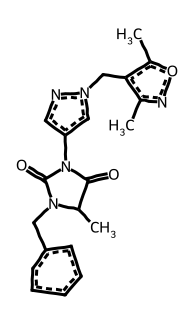 Cc1noc(C)c1Cn1cc(N2C(=O)C(C)N(Cc3ccccc3)C2=O)cn1